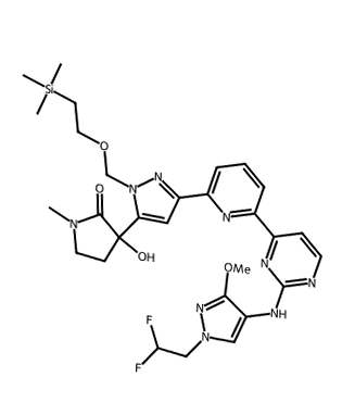 COc1nn(CC(F)F)cc1Nc1nccc(-c2cccc(-c3cc(C4(O)CCN(C)C4=O)n(COCC[Si](C)(C)C)n3)n2)n1